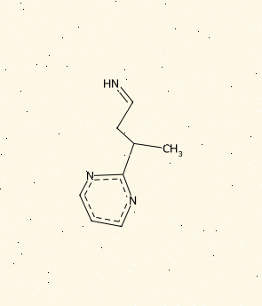 CC(CC=N)c1ncccn1